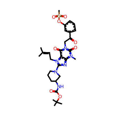 CC(C)=CCn1c(N2CCCC(NC(=O)OC(C)(C)C)C2)nc2c1c(=O)n(CC(=O)c1cccc(OS(C)(=O)=O)c1)c(=O)n2C